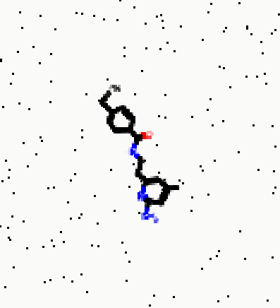 Cc1cc(N)nc(CCNC(=O)c2ccc(CC#N)cc2)c1